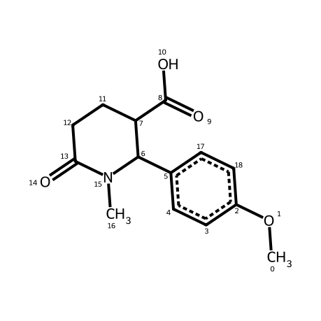 COc1ccc(C2C(C(=O)O)CCC(=O)N2C)cc1